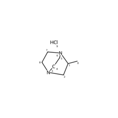 CC1CN2CCN1CC2.Cl